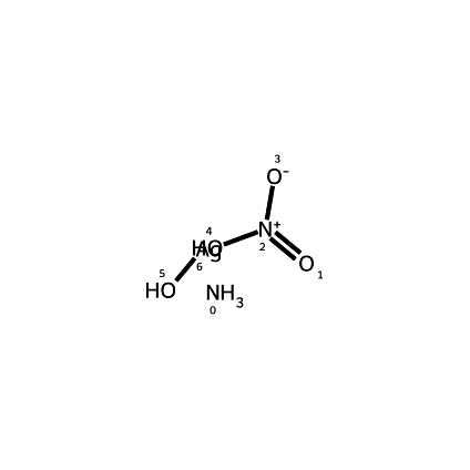 N.O=[N+]([O-])O.[OH][Ag]